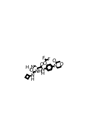 NC[C@@H](NC(=O)NC1CCC1)C(=O)Nc1ccc(N2CCOCC2=O)cc1OC(F)F